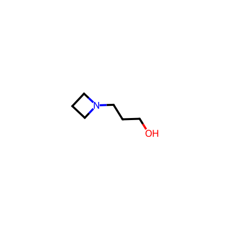 OCCCN1CCC1